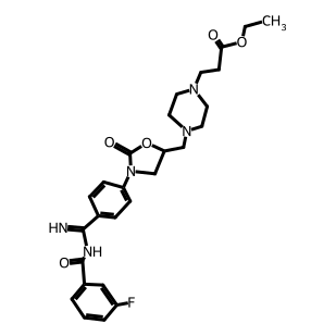 CCOC(=O)CCN1CCN(CC2CN(c3ccc(C(=N)NC(=O)c4cccc(F)c4)cc3)C(=O)O2)CC1